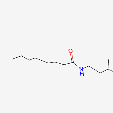 CCCCCCCC(=O)NCCC(C)C